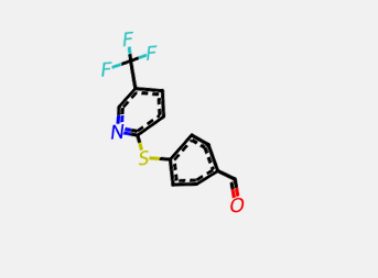 O=Cc1ccc(Sc2ccc(C(F)(F)F)cn2)cc1